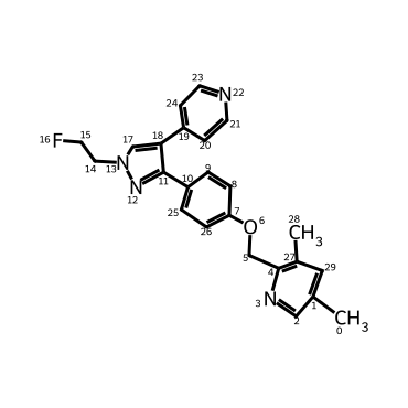 Cc1cnc(COc2ccc(-c3nn(CCF)cc3-c3ccncc3)cc2)c(C)c1